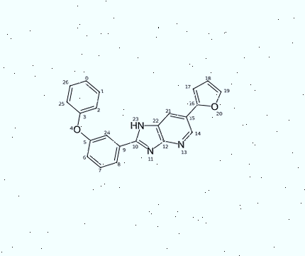 c1ccc(Oc2cccc(-c3nc4ncc(-c5ccco5)cc4[nH]3)c2)cc1